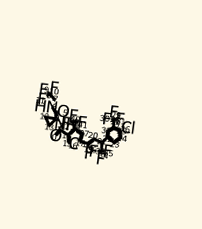 O=C(NC1(C(=O)NCC(F)(F)F)CC1)c1ccc(/C(F)=C/C(c2ccc(Cl)c(C(F)(F)F)c2)C(F)(F)F)cc1C(F)(F)F